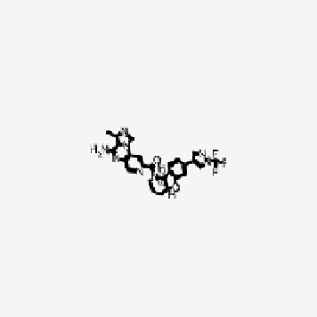 Cc1ncn2c1c(N)nc1cnc(C(=O)N3CCC[C@@H]4Oc5cc(-c6cnn(C(F)(F)F)c6)ccc5[C@@H]43)cc12